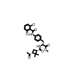 COC(=O)[C@H](Cc1ccc(NC(=O)c2c(Cl)cccc2Cl)cc1)NC(=O)[C@H]1C[C@@H](C(C)=O)C1(C)C